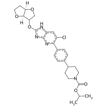 CC(C)OC(=O)N1CCC(c2ccc(-c3nc4nc(OC5CO[C@@H]6CCO[C@H]56)[nH]c4cc3Cl)cc2)CC1